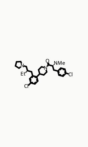 CC[C@H](Cc1cc(Cl)ccc1C1CCN(C(=O)[C@@H](Cc2ccc(Cl)cc2)NC)CC1)CN1CCCC1